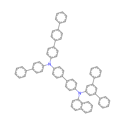 c1ccc(-c2ccc(-c3ccc(N(c4ccc(-c5ccccc5)cc4)c4ccc(-c5ccc(N(c6cc(-c7ccccc7)cc(-c7ccccc7)c6)c6cccc7ccccc67)cc5)cc4)cc3)cc2)cc1